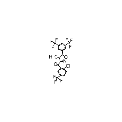 CC1C(C(=O)c2cc(C(F)(F)F)ccc2Cl)=NOC1c1cc(C(F)(F)F)cc(C(F)(F)F)c1